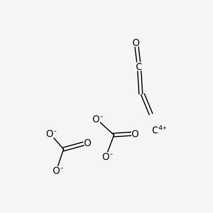 C=C=C=O.O=C([O-])[O-].O=C([O-])[O-].[C+4]